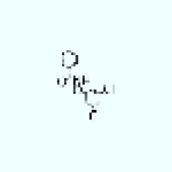 O=C(NOc1cc(Cl)cc(Cl)c1)c1ccccc1